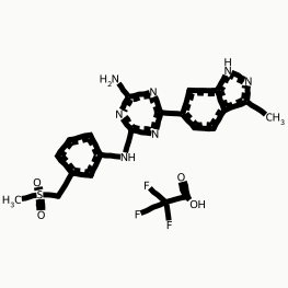 Cc1n[nH]c2cc(-c3nc(N)nc(Nc4cccc(CS(C)(=O)=O)c4)n3)ccc12.O=C(O)C(F)(F)F